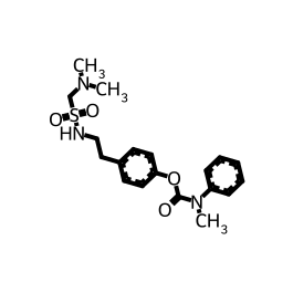 CN(C)CS(=O)(=O)NCCc1ccc(OC(=O)N(C)c2ccccc2)cc1